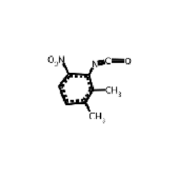 Cc1ccc([N+](=O)[O-])c(N=C=O)c1C